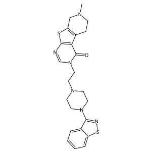 CN1CCc2c(sc3ncn(CCN4CCN(c5nsc6ccccc56)CC4)c(=O)c23)C1